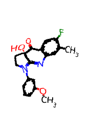 COc1cccc(N2CC[C@@]3(O)C(=O)c4cc(F)c(C)cc4N=C23)c1